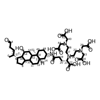 CC(CCC=O)[C@H]1CCC2C3CC[C@@H]4C[C@@H](NC(=O)CC[C@@H](C(=O)O)N(CCN(CC(=O)O)CC(=O)O)CCN(CC(=O)O)CC(=O)O)CC[C@]4(C)C3C[C@H](O)[C@@]21C